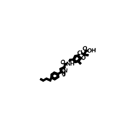 CCCCc1ccc(-c2cc(C(=O)NCc3cc(C)c(OC(C)(C)C(=O)O)c(Cl)c3)nn2C)cc1